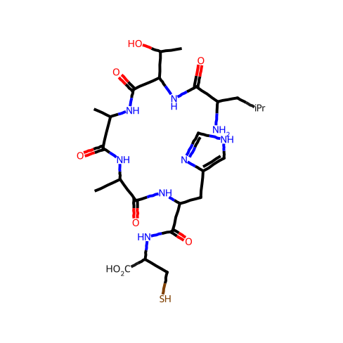 CC(C)CC(N)C(=O)NC(C(=O)NC(C)C(=O)NC(C)C(=O)NC(Cc1c[nH]cn1)C(=O)NC(CS)C(=O)O)C(C)O